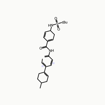 C=C(/C=C\C(=C/C)C1=CCC(C)CC1)NC(=O)C1=CCC(NS(=O)(=O)C(C)(C)C)C=C1